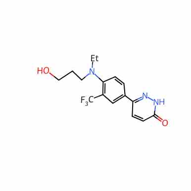 CCN(CCCO)c1ccc(-c2ccc(=O)[nH]n2)cc1C(F)(F)F